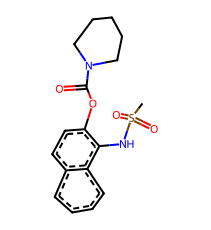 CS(=O)(=O)Nc1c(OC(=O)N2CCCCC2)ccc2ccccc12